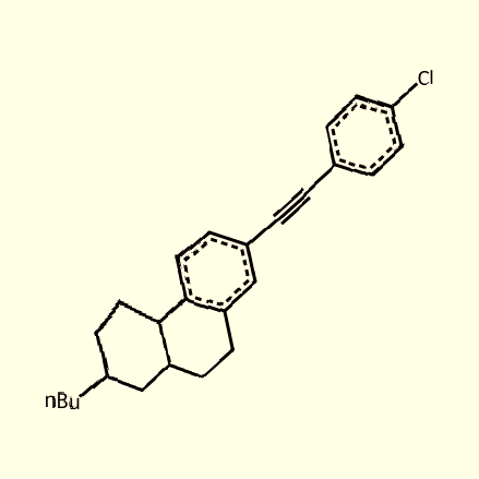 CCCCC1CCC2c3ccc(C#Cc4ccc(Cl)cc4)cc3CCC2C1